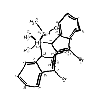 CC1=C(C(C)C)c2ccccc2[CH]1[Hf]([CH3])([CH3])([CH]1C(C)=C(C(C)C)c2ccccc21)[SiH](C)C